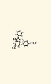 O=C(O)c1cccc(Cc2c(-c3ccccc3)[nH]c3cc(Cl)ccc23)n1